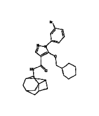 O=C(NC1C2CC3CC4CC1C4(C3)C2)c1cnn(-c2cccc(Br)c2)c1OCC1CCCCC1